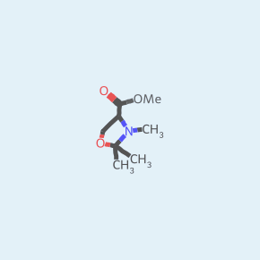 COC(=O)C1COC(C)(C)N1C